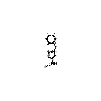 CC(C)Nc1cn(Cc2ccccc2)cn1